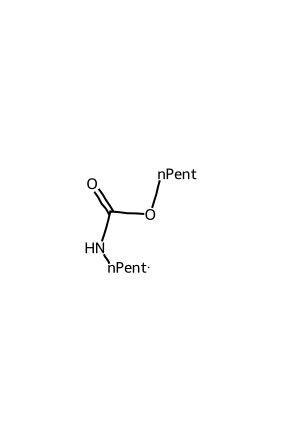 CCCC[CH]NC(=O)OCCCCC